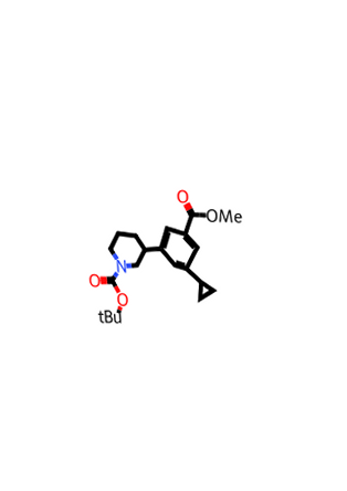 COC(=O)c1cc(C2CC2)cc(C2CCCN(C(=O)OC(C)(C)C)C2)c1